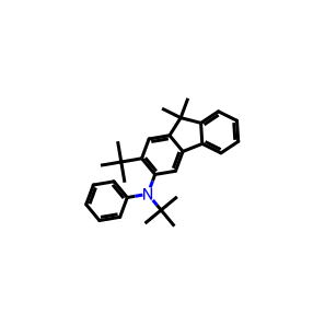 CC(C)(C)c1cc2c(cc1N(c1ccccc1)C(C)(C)C)-c1ccccc1C2(C)C